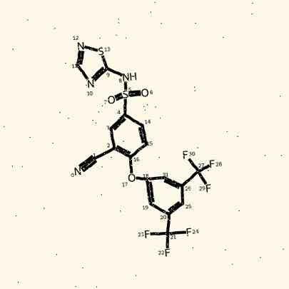 N#Cc1cc(S(=O)(=O)Nc2ncns2)ccc1Oc1cc(C(F)(F)F)cc(C(F)(F)F)c1